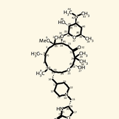 CO[C@]1(C)C[C@@H](C)CN(C)[C@@H](CC2CCN(C[C@@H]3COC(=O)N3)CC2)CO[C@@H](O)C(C)(C)C(=O)C[C@H]1O[C@@H]1O[C@H](C)C[C@H](N(C)C)[C@H]1O